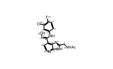 CC(=O)NCc1nc2c(/C(=N/O)Nc3ccc(F)c(Cl)c3)ccnc2[nH]1